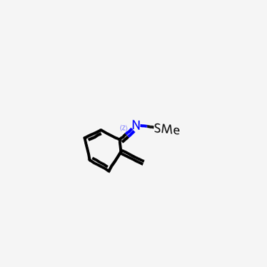 C=C1C=CC=C/C1=N/SC